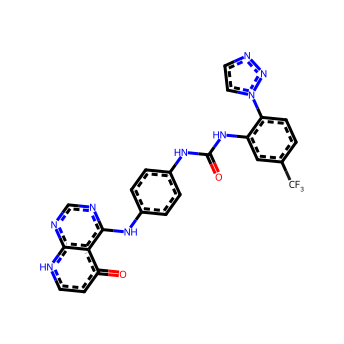 O=C(Nc1ccc(Nc2ncnc3[nH]ccc(=O)c23)cc1)Nc1cc(C(F)(F)F)ccc1-n1ccnn1